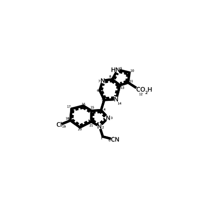 N#CCn1nc(-c2cnc3[nH]cc(C(=O)O)c3n2)c2ccc(Cl)cc21